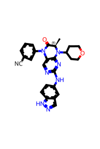 C[C@@H]1C(=O)N(c2cccc(C#N)c2)c2cnc(Nc3ccc4[nH]ncc4c3)nc2N1C1CCOCC1